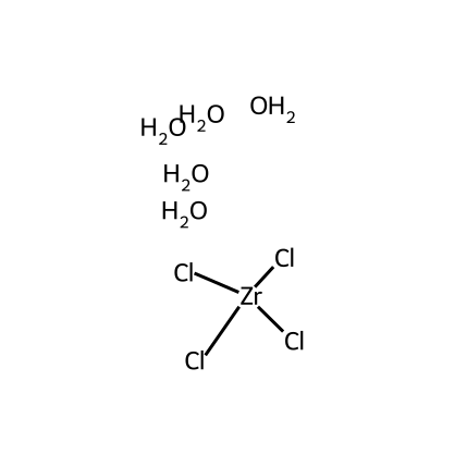 O.O.O.O.O.[Cl][Zr]([Cl])([Cl])[Cl]